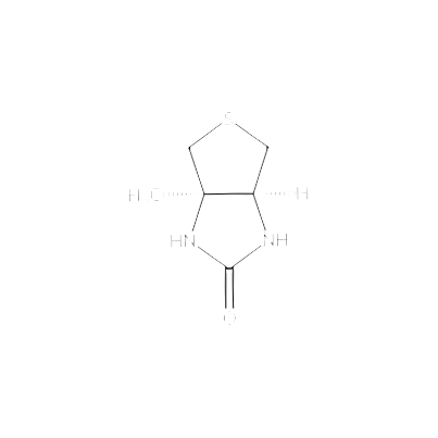 C[C@]12CSC[C@H]1NC(=O)N2